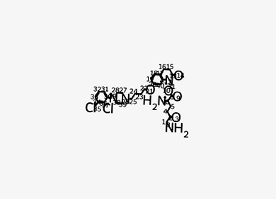 NCC(=O)CCC(N)C(=O)OCN1C(=O)CCc2ccc(OCCCCN3CCN(c4cccc(Cl)c4Cl)CC3)cc21